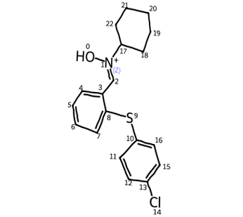 O/[N+](=C\c1ccccc1Sc1ccc(Cl)cc1)C1CCCCC1